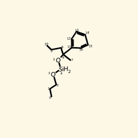 CCCO[SiH2]OC(C)(CCC)c1ccccc1